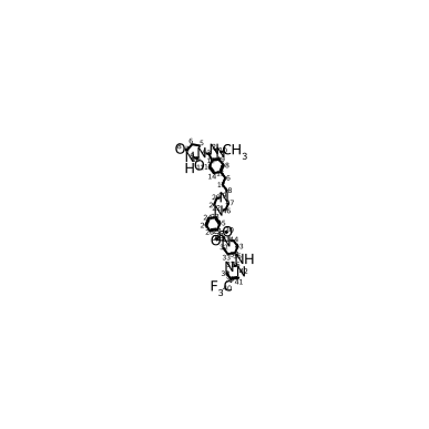 Cn1nc(N2CCC(=O)NC2=O)c2ccc(CCCN3CCN(c4cccc(S(=O)(=O)N5CCC(Nc6ncc(C(F)(F)F)cn6)CC5)c4)CC3)cc21